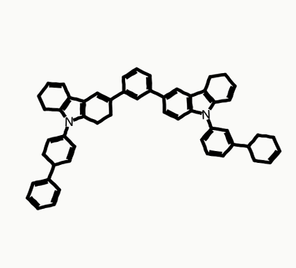 C1=Cc2c(c3cc(-c4cccc(C5=Cc6c7c(n(C8=CCC(c9ccccc9)C=C8)c6CC5)CCC=C7)c4)ccc3n2-c2cccc(C3CC=CCC3)c2)CC1